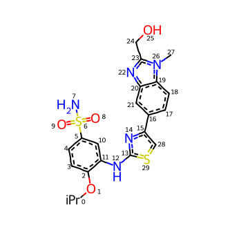 CC(C)Oc1ccc(S(N)(=O)=O)cc1Nc1nc(-c2ccc3c(c2)nc(CO)n3C)cs1